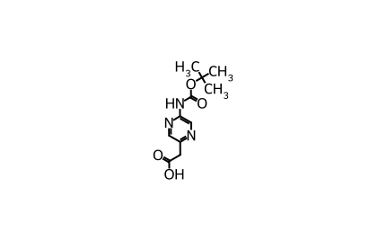 CC(C)(C)OC(=O)Nc1cnc(CC(=O)O)cn1